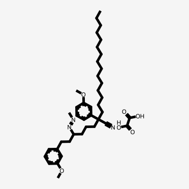 CCCCCCCCCCCCCCCC(C#N)(CCCC(CCc1cccc(OC)c1)N=NC)c1cccc(OC)c1.O=C(O)C(=O)O